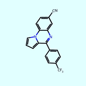 N#Cc1ccc2c(c1)nc(-c1ccc(C(F)(F)F)cc1)c1cccn12